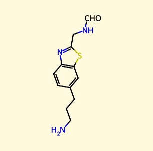 NCCCc1ccc2nc(CNC=O)sc2c1